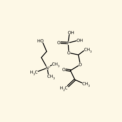 C=C(C)C(=O)OC(C)OP(=O)(O)O.C[N+](C)(C)CCO